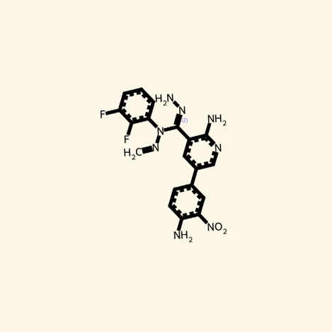 C=NN(/C(=N\N)c1cc(-c2ccc(N)c([N+](=O)[O-])c2)cnc1N)c1cccc(F)c1F